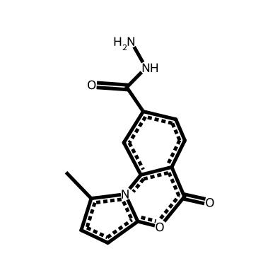 Cc1ccc2oc(=O)c3ccc(C(=O)NN)cc3n12